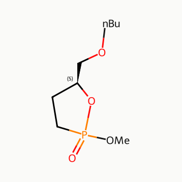 CCCCOC[C@@H]1CCP(=O)(OC)O1